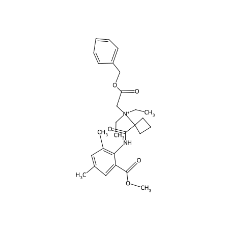 CC[N+](CC)(CC(=O)OCc1ccccc1)C1(C(=O)Nc2c(C)cc(C)cc2C(=O)OC)CCC1